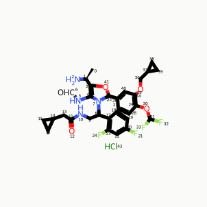 C[C@H](N)C1=C(NC=O)N(C(CNC(=O)CC2CC2)c2ccc(F)cc2F)C(c2ccc(OC(F)F)c(OCC3CC3)c2)O1.Cl